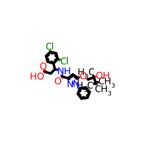 CC(C)(C)C(C)(O)COc1cc(C(=O)NC(CC(=O)O)c2ccc(Cl)cc2Cl)nn1-c1ccccc1